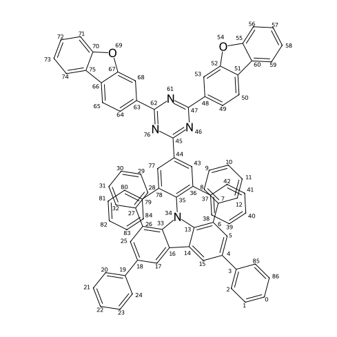 c1ccc(-c2cc(-c3ccccc3)c3c(c2)c2cc(-c4ccccc4)cc(-c4ccccc4)c2n3-c2c(-c3ccccc3)cc(-c3nc(-c4ccc5c(c4)oc4ccccc45)nc(-c4ccc5c(c4)oc4ccccc45)n3)cc2-c2ccccc2)cc1